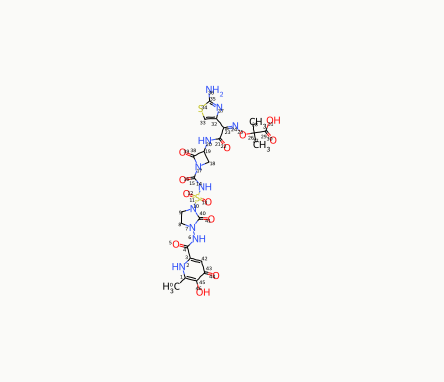 Cc1[nH]c(C(=O)NN2CCN(S(=O)(=O)NC(=O)N3CC(NC(=O)/C(=N\OC(C)(C)C(=O)O)c4csc(N)n4)C3=O)C2=O)cc(=O)c1O